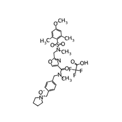 COc1cc(C)c(S(=O)(=O)N(C)Cc2nc(C(=O)N(C)Cc3ccc(C[N+]4([O-])CCCC4)cc3)co2)c(C)c1.O=C(O)C(F)(F)F